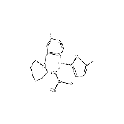 Cc1ccc([C@@H](N[S+]([O-])C(C)(C)C)c2ccc(C)o2)c(N2CCCCC2)c1